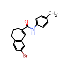 [CH2]c1ccc(NC(=O)C2=Cc3cc(Br)ccc3CCC2)cc1